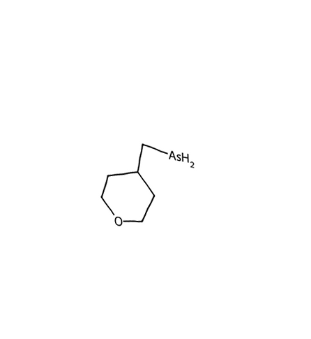 [AsH2]CC1CCOCC1